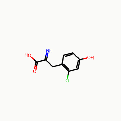 N=C(Cc1ccc(O)cc1Cl)C(=O)O